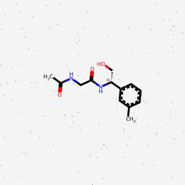 CC(=O)NCC(=O)N[C@H](CO)c1cccc(C)c1